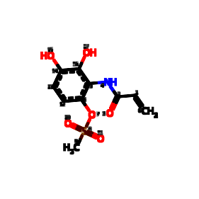 C=CC(=O)Nc1c(OS(C)(=O)=O)ccc(O)c1O